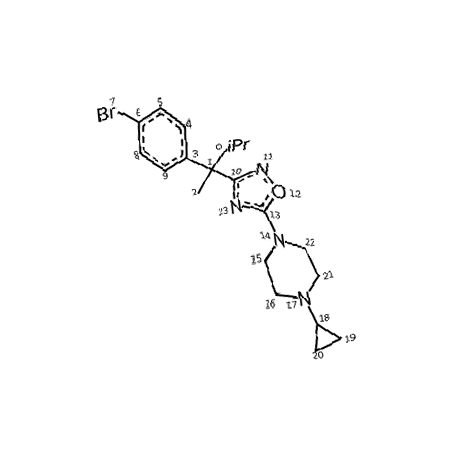 CC(C)C(C)(c1ccc(Br)cc1)c1noc(N2CCN(C3CC3)CC2)n1